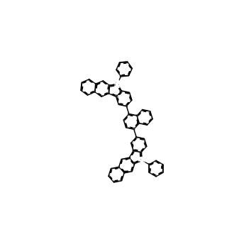 c1ccc(-n2c3ccc(-c4ccc(-c5ccc6c(c5)c5cc7ccccc7cc5n6-c5ccccc5)c5ccccc45)cc3c3cc4ccccc4cc32)cc1